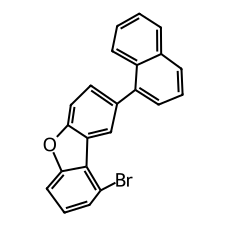 Brc1cccc2oc3ccc(-c4cccc5ccccc45)cc3c12